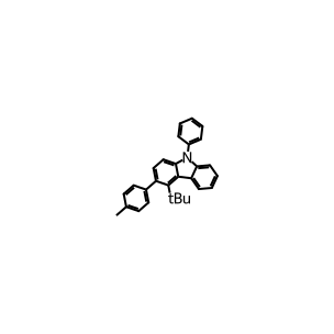 Cc1ccc(-c2ccc3c(c2C(C)(C)C)c2ccccc2n3-c2ccccc2)cc1